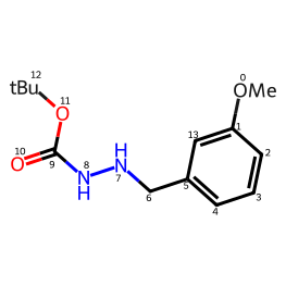 COc1cccc(CNNC(=O)OC(C)(C)C)c1